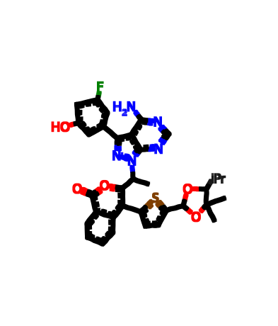 CC(C)C1OC(c2ccc(-c3c(C(C)n4nc(-c5cc(O)cc(F)c5)c5c(N)ncnc54)oc(=O)c4ccccc34)s2)OC1(C)C